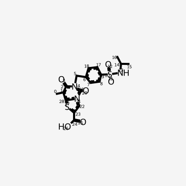 Cc1c(=O)n(Cc2ccc(S(=O)(=O)NC(C)C)cc2)c(=O)n2cc(C(=O)O)sc12